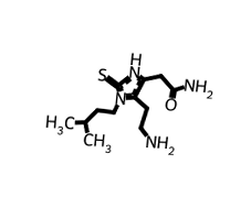 CC(C)CCn1c(CCN)c(CC(N)=O)[nH]c1=S